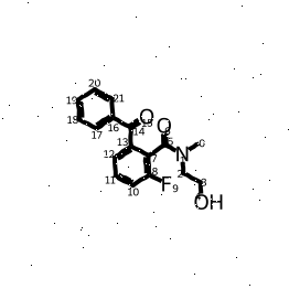 CN(CCO)C(=O)c1c(F)cccc1C(=O)c1ccccc1